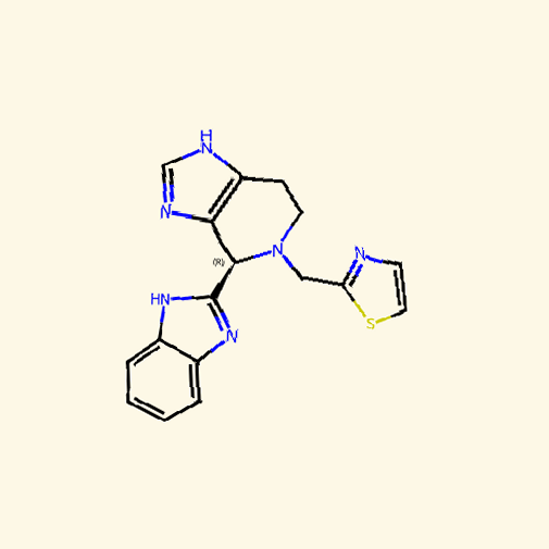 c1ccc2[nH]c([C@H]3c4nc[nH]c4CCN3Cc3nccs3)nc2c1